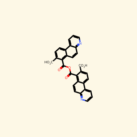 O=C(O)c1ccc2c(ccc3ncccc32)c1C(=O)OC(=O)c1c(C(=O)O)ccc2c1ccc1ncccc12